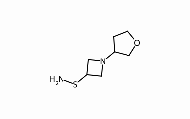 NSC1CN(C2CCOC2)C1